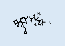 Cc1nc(C(C)(C)NC(=O)Oc2ccc(C3(O)CCC3)c(OCC3CC3)n2)no1